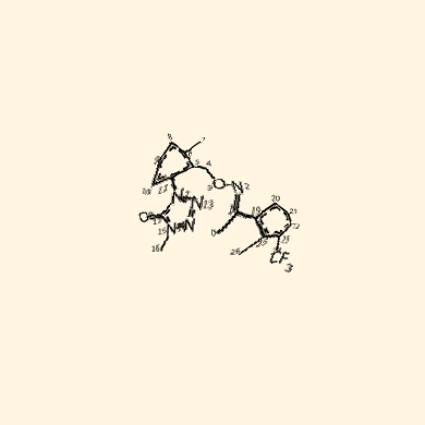 CC(=NOCc1c(C)cccc1-n1nnn(C)c1=O)c1cccc(C(F)(F)F)c1C